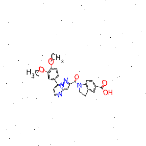 COc1ccc(-c2ccnc3cc(C(=O)N4CCc5cc(C(=O)O)ccc54)nn23)cc1OC